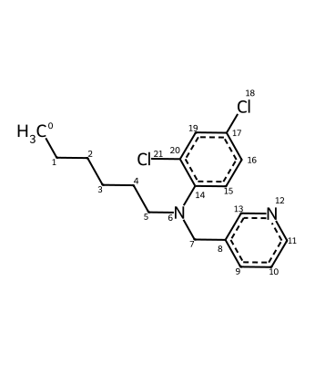 CCCCCCN(Cc1cccnc1)c1ccc(Cl)cc1Cl